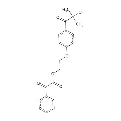 CC(C)(O)C(=O)c1ccc(OCCOC(=O)C(=O)c2ccccc2)cc1